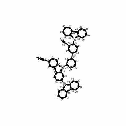 N#Cc1ccc2c(c1)c1ccc(-n3c4ccccc4c4ccccc43)cc1n2-c1cccc(-c2ccc(-n3c4ccccc4c4ccccc43)c(C#N)c2)c1